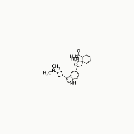 CN(C)C1CC(c2c[nH]c3ccc(CCC4(C(N)=O)C=CC=CC4C(N)=O)cc23)C1